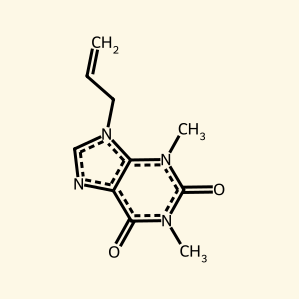 C=CCn1cnc2c(=O)n(C)c(=O)n(C)c21